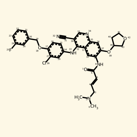 CN(C)CC=CC(=O)Nc1cc2c(Nc3ccc(OCc4cccc(F)c4)c(Cl)c3)c(C#N)cnc2cc1OC1CCOC1